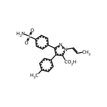 CC=Cn1nc(-c2ccc(S(N)(=O)=O)cc2)c(-c2ccc(C)cc2)c1C(=O)O